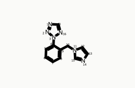 [c]1nnn(-c2ccccc2Cn2ccnc2)n1